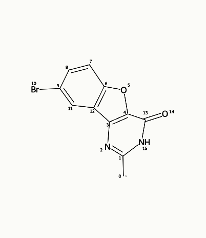 [CH2]c1nc2c(oc3ccc(Br)cc32)c(=O)[nH]1